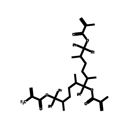 C=C(C)C(=O)OC(CC)(C(C)C)C(C)CCC(C)C(OC(=O)C(=C)C)(C(C)C)C(C)CCC(C)C(OC(=O)C(=C)C(F)(F)F)(C(C)C)C(C)C